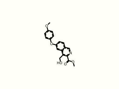 COC(=O)c1ncc2ccc(Oc3ccc(OC)cc3)cc2c1CO